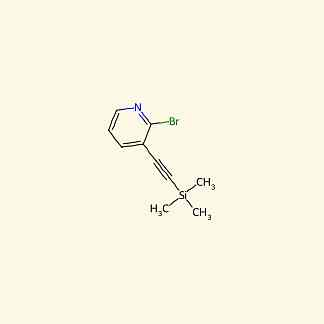 C[Si](C)(C)C#Cc1cccnc1Br